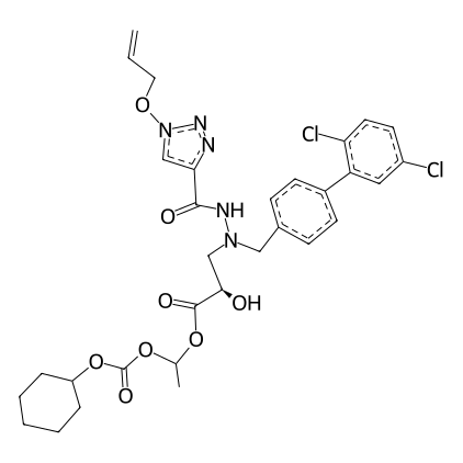 C=CCOn1cc(C(=O)NN(Cc2ccc(-c3cc(Cl)ccc3Cl)cc2)C[C@@H](O)C(=O)OC(C)OC(=O)OC2CCCCC2)nn1